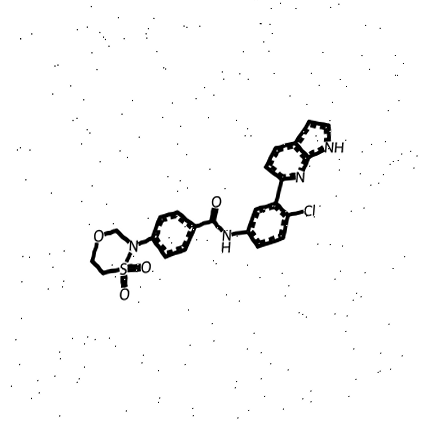 O=C(Nc1ccc(Cl)c(-c2ccc3cc[nH]c3n2)c1)c1ccc(N2COCCS2(=O)=O)cc1